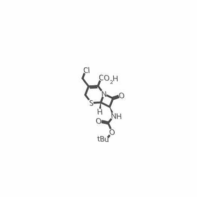 CC(C)(C)OC(=O)N[C@@H]1C(=O)N2C(C(=O)O)=C(CCl)CS[C@@H]12